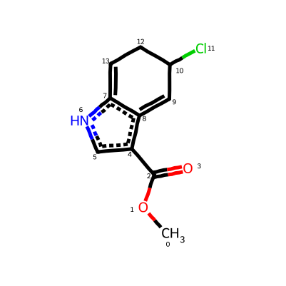 COC(=O)c1c[nH]c2c1=CC(Cl)CC=2